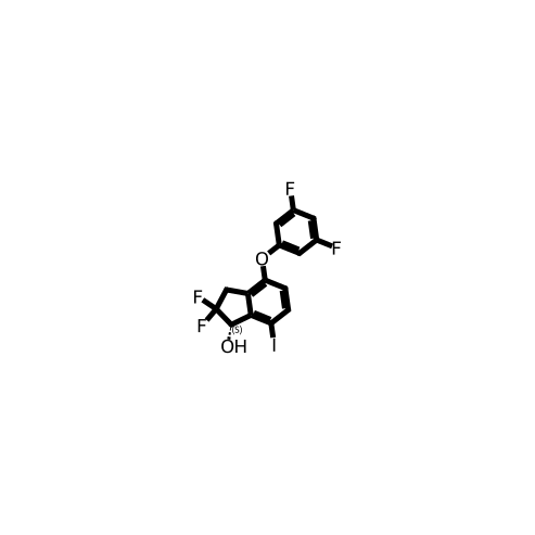 O[C@H]1c2c(I)ccc(Oc3cc(F)cc(F)c3)c2CC1(F)F